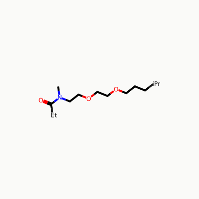 CCC(=O)N(C)CCOCCOCCCC(C)C